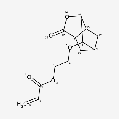 C=CC(=O)OCCOC1C2CC3C(=O)OC1C3C2